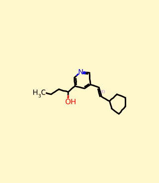 CCCC(O)c1cncc(/C=C/C2CCCCC2)c1